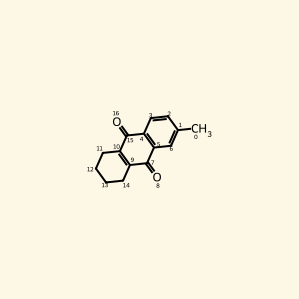 Cc1ccc2c(c1)C(=O)C1=C(CCCC1)C2=O